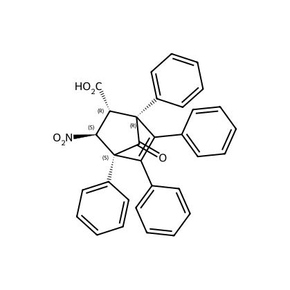 O=C(O)[C@H]1[C@H]([N+](=O)[O-])[C@@]2(c3ccccc3)C(=O)[C@]1(c1ccccc1)C(c1ccccc1)=C2c1ccccc1